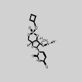 C[C@@]1(N=[N+]=[N-])[C@@H]2OP(=O)(OC3CCC3)OC[C@H]2O[C@@H]1n1ccc(=O)[nH]c1=O